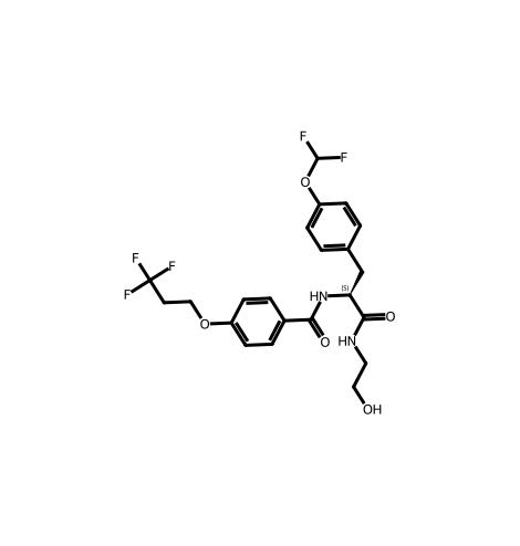 O=C(N[C@@H](Cc1ccc(OC(F)F)cc1)C(=O)NCCO)c1ccc(OCCC(F)(F)F)cc1